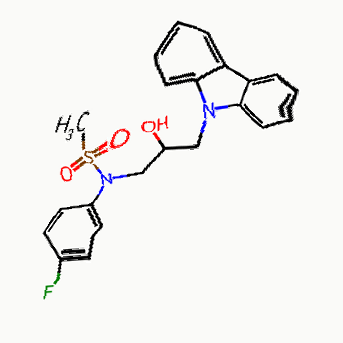 CS(=O)(=O)N(CC(O)Cn1c2ccccc2c2ccccc21)c1ccc(F)cc1